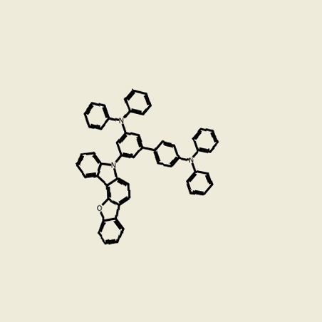 c1ccc(N(c2ccccc2)c2ccc(-c3cc(N(c4ccccc4)c4ccccc4)cc(-n4c5ccccc5c5c6oc7ccccc7c6ccc54)c3)cc2)cc1